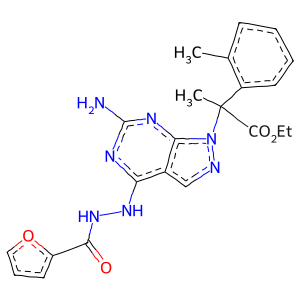 CCOC(=O)C(C)(c1ccccc1C)n1ncc2c(NNC(=O)c3ccco3)nc(N)nc21